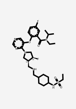 CCN(C(=O)c1cc(F)ccc1Oc1cncnc1N1C[C@H](CNCC2CCC(NS(=O)(=O)CC)CC2)[C@H](F)C1)C(C)C